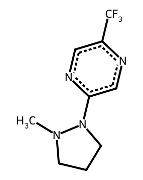 CN1CCCN1c1cnc(C(F)(F)F)cn1